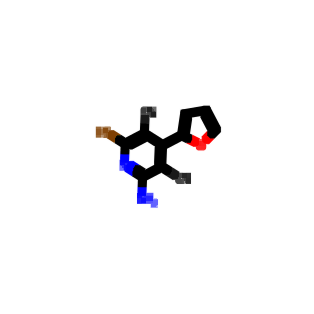 N#Cc1c(N)nc(S)c(C#N)c1-c1ccco1